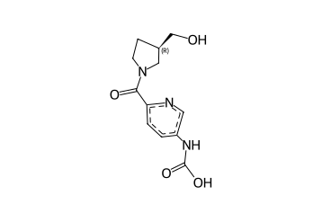 O=C(O)Nc1ccc(C(=O)N2CC[C@@H](CO)C2)nc1